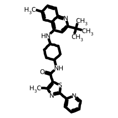 Cc1ccc2nc(C(C)(C)C)cc(NC3CCC(NC(=O)c4sc(-c5ccccn5)nc4C)CC3)c2c1